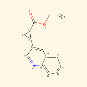 CCOC(=O)C1CC1c1cnc2ccccc2c1